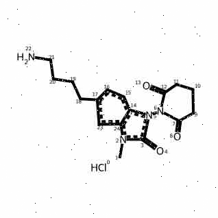 Cl.Cn1c(=O)n(N2C(=O)CCCC2=O)c2ccc(CCCCN)cc21